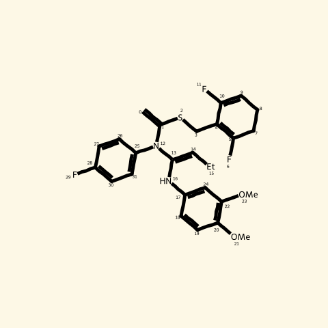 C=C(SCC1=C(F)CCC=C1F)N(/C(=C/CC)Nc1ccc(OC)c(OC)c1)c1ccc(F)cc1